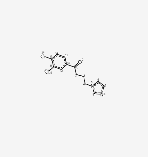 O=C(CCCn1ccnc1)c1ccc(Cl)c(Cl)c1